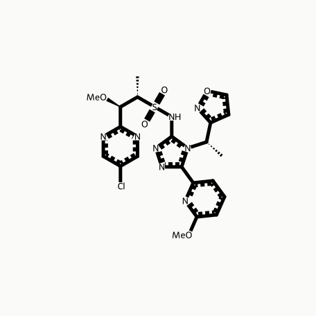 COc1cccc(-c2nnc(NS(=O)(=O)[C@@H](C)[C@H](OC)c3ncc(Cl)cn3)n2[C@@H](C)c2ccon2)n1